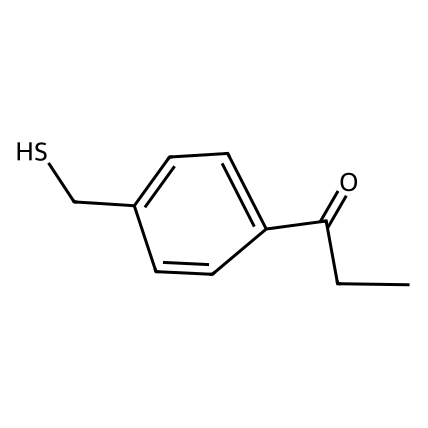 CCC(=O)c1ccc(CS)cc1